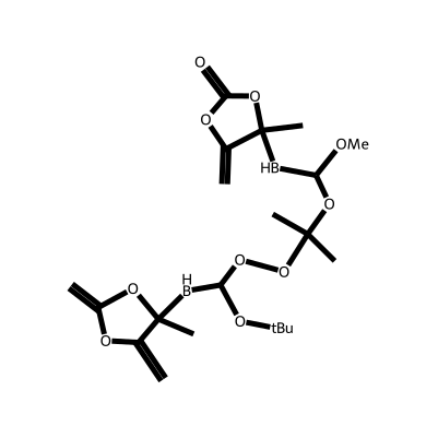 C=C1OC(=C)C(C)(BC(OOC(C)(C)OC(BC2(C)OC(=O)OC2=C)OC)OC(C)(C)C)O1